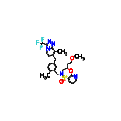 COCCC1CN(Cc2cc(Cc3ccn4c(C(F)(F)F)nnc4c3C)ccc2C)[S+]([O-])c2cccnc2O1